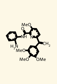 C=C(c1cc(OC)c(OC)c(OC)c1)c1ccc(OC)c(C(=O)Nc2ccccc2N)n1